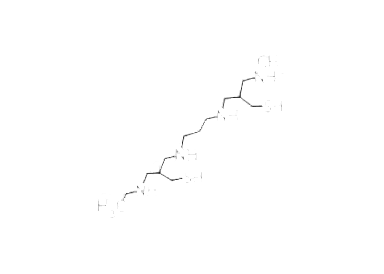 CCNCC(CS)CNCCCNCC(CS)CNC